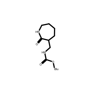 CC(C)(C)OC(=O)NCC1CCCCNC1=O